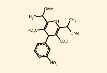 COC(C)C1=C(C(=O)O)C(c2cccc([N+](=O)[O-])c2)C(C(=O)O)=C(C(C)OC)N1